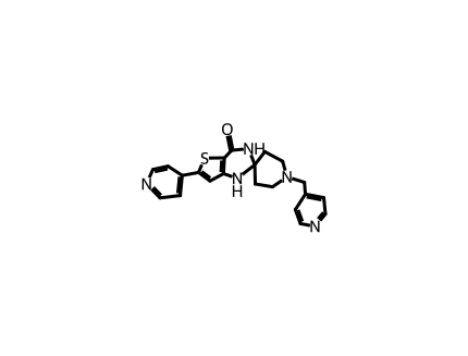 O=C1NC2(CCN(Cc3ccncc3)CC2)Nc2cc(-c3ccncc3)sc21